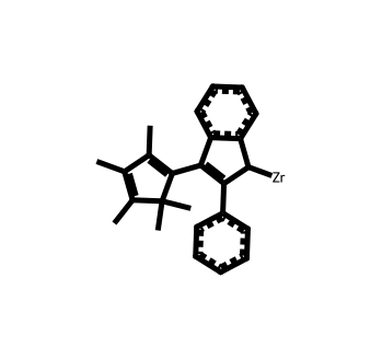 CC1=C(C)C(C)(C)C(C2=C(c3ccccc3)[CH]([Zr])c3ccccc32)=C1C